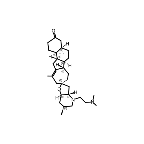 CC1=C2C[C@H]3[C@@H](CC[C@@H]4CC(=O)CC[C@@]43C)[C@@H]2CC[C@]2(C1)C[C@H]1[C@@H](C[C@H](C)CN1CCN(C)C)O2